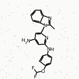 Cc1nc2ccccc2n1-c1cc(N)cc(Nc2ccc(OC(F)F)cc2)n1